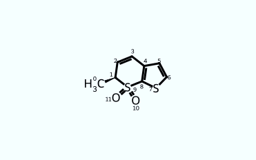 C[C@H]1C=Cc2ccsc2S1(=O)=O